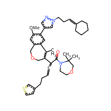 COc1cc2c(cc1-c1cnn(CCC=C3CCCCC3)c1)C(C)=C(C(=C=CCCc1ccsc1)C(=O)N1CCOCC1(C)C)COC2